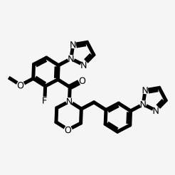 COc1ccc(-n2nccn2)c(C(=O)N2CCOCC2Cc2cccc(-n3nccn3)c2)c1F